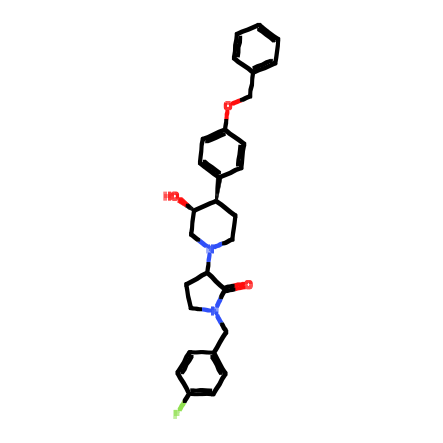 O=C1C(N2CC[C@H](c3ccc(OCc4ccccc4)cc3)[C@H](O)C2)CCN1Cc1ccc(F)cc1